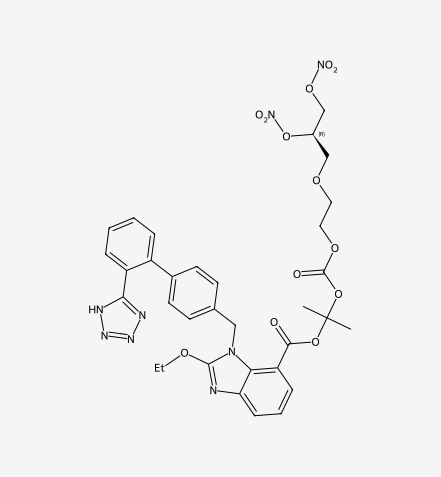 CCOc1nc2cccc(C(=O)OC(C)(C)OC(=O)OCCOC[C@H](CO[N+](=O)[O-])O[N+](=O)[O-])c2n1Cc1ccc(-c2ccccc2-c2nnn[nH]2)cc1